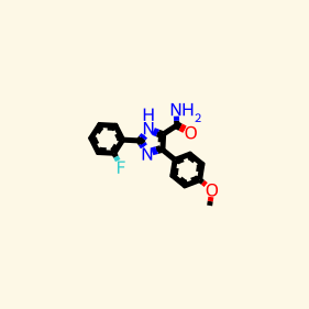 COc1ccc(-c2nc(-c3ccccc3F)[nH]c2C(N)=O)cc1